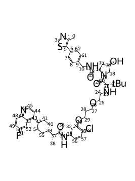 Cc1ncsc1-c1ccc(CNC(=O)[C@@H]2C[C@@H](O)CN2C(=O)[C@@H](NCCOCCCOc2cc(NC(=O)[C@H](C)[C@H]3CC[C@@H](c4ccnc5ccc(F)cc54)CC3)ccc2Cl)C(C)(C)C)cc1